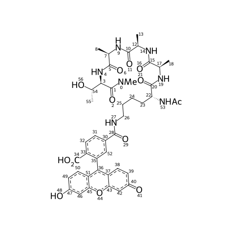 CNC(=O)[C@H](NC(=O)[C@@H](C)NC(=O)[C@@H](C)NC(=O)[C@@H](C)NC(=O)[C@@H](CCCCNC(=O)c1ccc(C(=O)O)c(-c2c3ccc(=O)cc-3oc3cc(O)ccc23)c1)NC(C)=O)[C@H](C)O